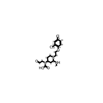 CNC1CC(N(CC=O)C(=O)O)CCN1CCOc1ccc(Cl)cc1Cl